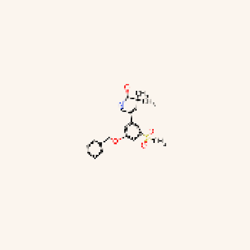 CC1(C)C=C(c2cc(OCc3ccccc3)cc(S(C)(=O)=O)c2)C=NC1=O